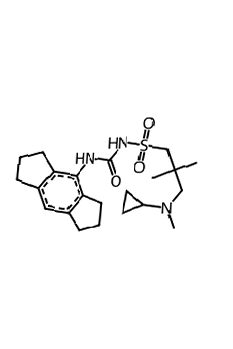 CN(CC(C)(C)CS(=O)(=O)NC(=O)Nc1c2c(cc3c1CCC3)CCC2)C1CC1